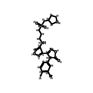 O=c1onc(-c2nonc2NCCCS(=O)(=O)CC2CCOC2)n1-c1ccc(F)c(Br)c1